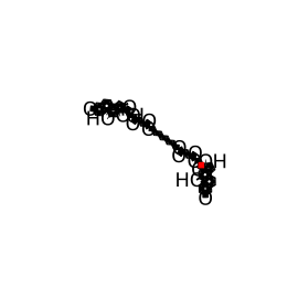 C[C@@H]1CC2C3CCC4=CC(=O)C=C[C@]4(C)[C@@]3(F)[C@@H](O)C[C@]2(C)[C@@]1(O)C(=O)COC(=O)CCC(=O)OCCCCCCCCOC(=O)CCC(=O)OCC(=O)[C@@]1(O)CCC2C3CCC4=CC(=O)C=C[C@]4(C)C3[C@@H](O)C[C@@]21C